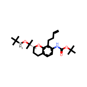 C=CCCc1c(NC(=O)OC(C)(C)C)ccc2c1O[C@@H](C(C)(C)O[SiH2]C(C)(C)C)CC2